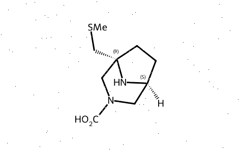 CSC[C@@]12CC[C@@H](CN(C(=O)O)C1)N2